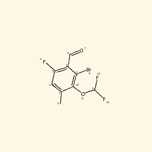 Cc1cc(F)c(C=O)c(Br)c1OC(F)F